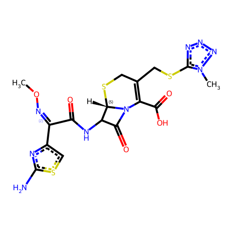 CO/N=C(\C(=O)NC1C(=O)N2C(C(=O)O)=C(CSc3nnnn3C)CS[C@@H]12)c1csc(N)n1